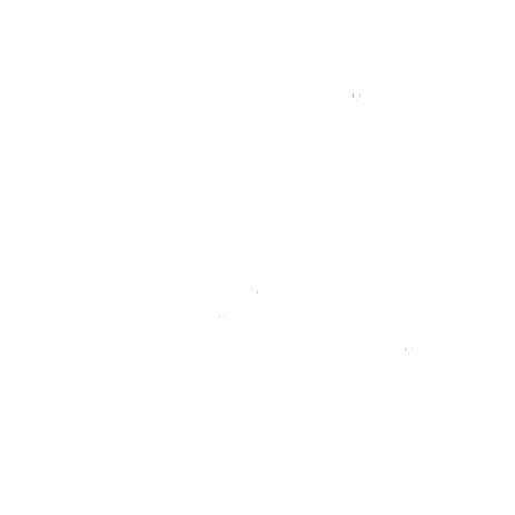 COC(=O)c1ccc(-c2cc(C3=C(CN4C(=O)OC(c5cc(C(F)(F)F)cc(C(F)(F)F)c5)C4C)CC(C)(C)CC3)c(OC)cc2C(F)(F)F)c(F)c1